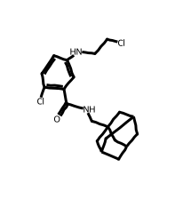 O=C(NCC12CC3CC(CC(C3)C1)C2)c1cc(NCCCl)ccc1Cl